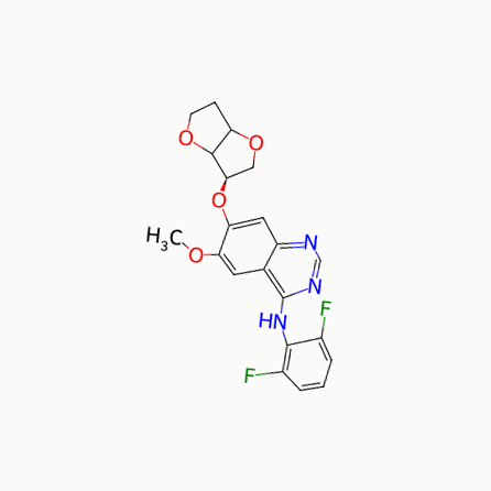 COc1cc2c(Nc3c(F)cccc3F)ncnc2cc1O[C@@H]1COC2CCOC21